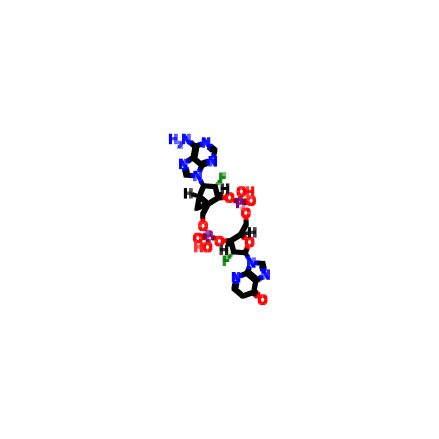 Nc1ncnc2c1ncn2[C@H]1[C@H](F)[C@@H]2OP(=O)(O)OC[C@H]3O[C@@H](n4cnc5c4N=CCC5=O)[C@H](F)[C@@H]3OP(=O)(O)OCC23C[C@H]13